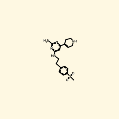 CS(=O)(=O)c1ccc(CCNc2cc(C3=CCNCC3)nc(N)n2)cc1